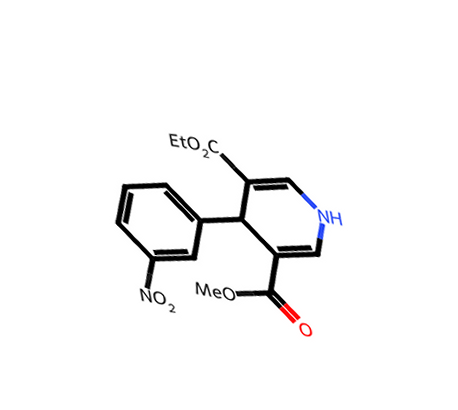 CCOC(=O)C1=CNC=C(C(=O)OC)C1c1cccc([N+](=O)[O-])c1